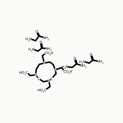 NCC(N)=O.NCC(N)=O.NCC(N)=O.NCC(N)=O.O=C(O)CN1CCN(CC(=O)O)CCN(CC(=O)O)CCN(CC(=O)O)CC1